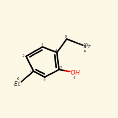 CCc1ccc(CC(C)C)c(O)c1